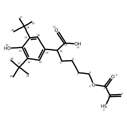 C=C(S)C(=O)OCCCCC(C(=O)O)c1cc(C(C)(C)C)c(O)c(C(C)(C)C)c1